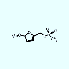 COC1C=C=C(COS(=O)(=O)C(F)(F)F)O1